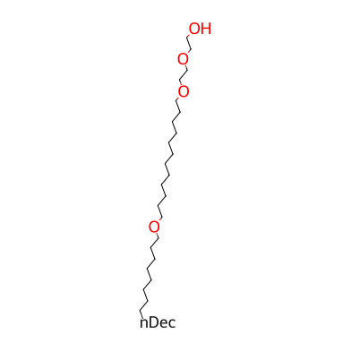 CCCCCCCCCCCCCCCCCCOCCCCCCCCCCCCOCCOCCO